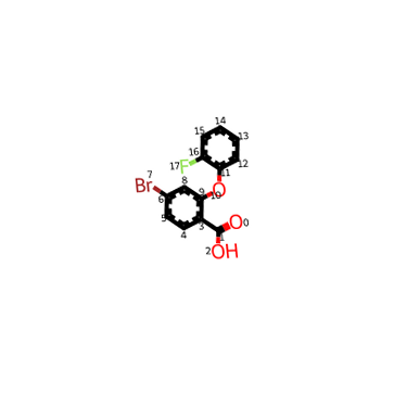 O=C(O)c1ccc(Br)cc1Oc1ccccc1F